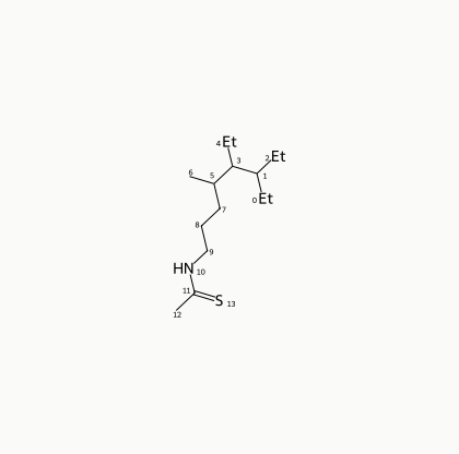 CCC(CC)C(CC)C(C)CCCNC(C)=S